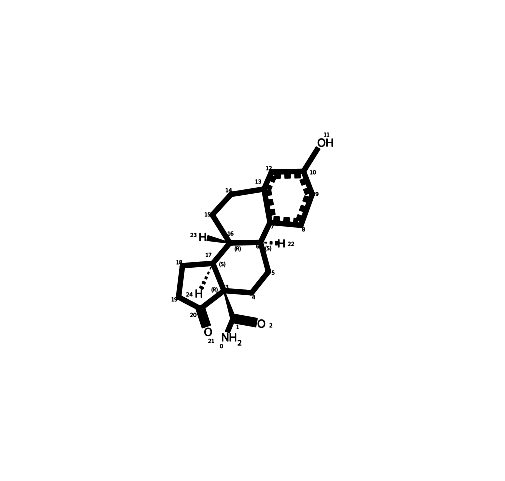 NC(=O)[C@]12CC[C@@H]3c4ccc(O)cc4CC[C@H]3[C@@H]1CCC2=O